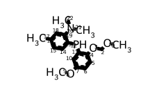 COCOc1ccc(OC)cc1Pc1ccc(C)cc1N(C)C